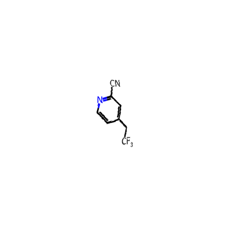 N#Cc1cc(CC(F)(F)F)ccn1